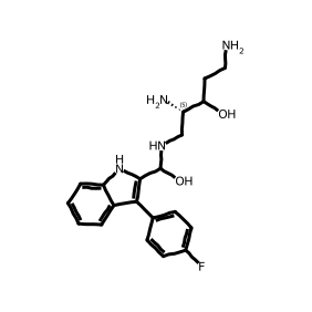 NCCC(O)[C@@H](N)CNC(O)c1[nH]c2ccccc2c1-c1ccc(F)cc1